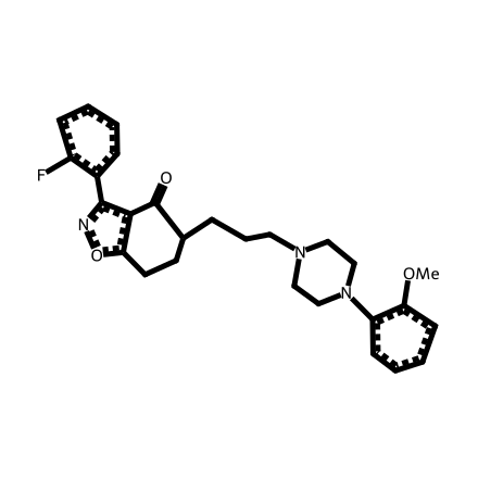 COc1ccccc1N1CCN(CCCC2CCc3onc(-c4ccccc4F)c3C2=O)CC1